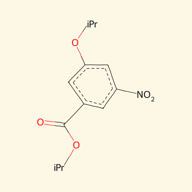 CC(C)OC(=O)c1cc(OC(C)C)cc([N+](=O)[O-])c1